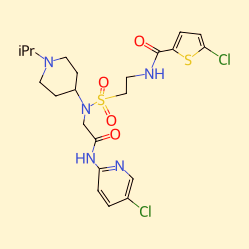 CC(C)N1CCC(N(CC(=O)Nc2ccc(Cl)cn2)S(=O)(=O)CCNC(=O)c2ccc(Cl)s2)CC1